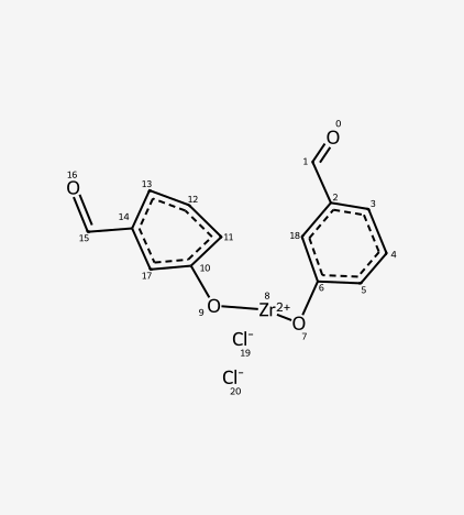 O=Cc1cccc([O][Zr+2][O]c2cccc(C=O)c2)c1.[Cl-].[Cl-]